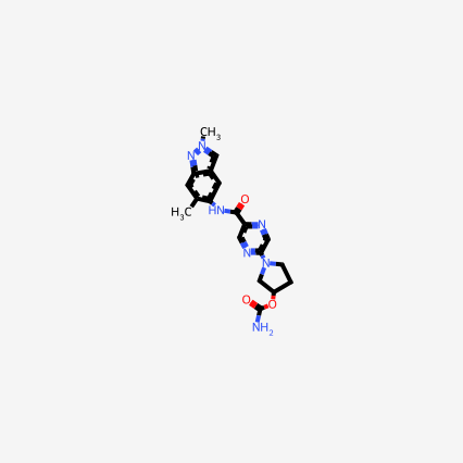 Cc1cc2nn(C)cc2cc1NC(=O)c1cnc(N2CCC(OC(N)=O)C2)cn1